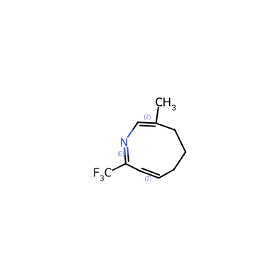 C/C1=C/N=C(C(F)(F)F)\C=C/CCC1